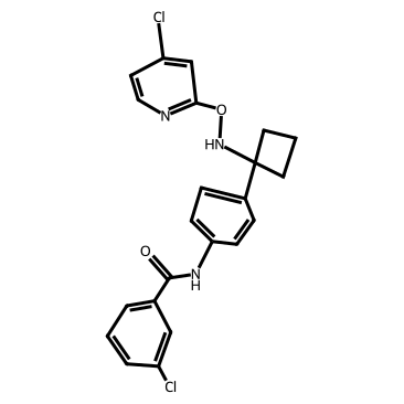 O=C(Nc1ccc(C2(NOc3cc(Cl)ccn3)CCC2)cc1)c1cccc(Cl)c1